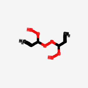 C=CC(OO)OOC(C=C)OO